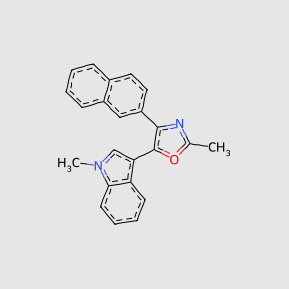 Cc1nc(-c2ccc3ccccc3c2)c(-c2cn(C)c3ccccc23)o1